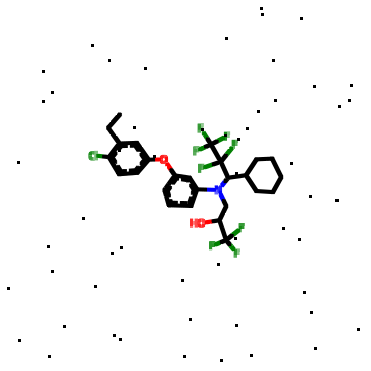 CCc1cc(Oc2cccc(N(CC(O)C(F)(F)F)C(C3CCCCC3)C(F)(F)C(F)(F)F)c2)ccc1Cl